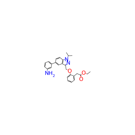 CCOC(=O)Cc1ccccc1OCc1nn(C(C)C)c2ccc(-c3cccc(N)c3)cc12